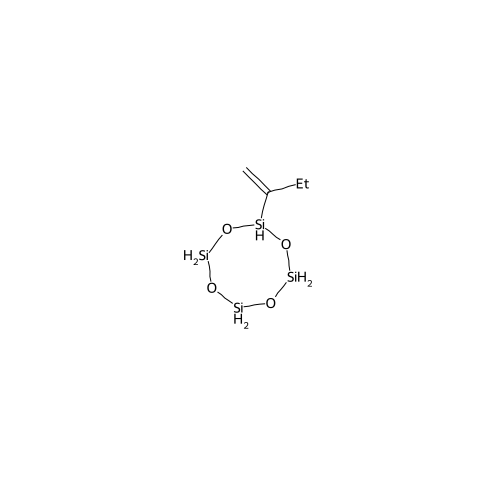 C=C(CC)[SiH]1O[SiH2]O[SiH2]O[SiH2]O1